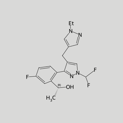 CCn1cc(Cc2cn(C(F)F)nc2-c2ccc(F)cc2[C@@H](C)O)cn1